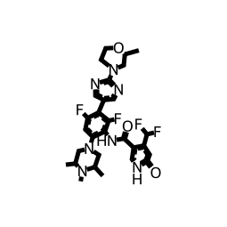 CC1CN(c2ncc(-c3c(F)cc(N4CC(C)N(C)C(C)C4)c(NC(=O)c4c[nH]c(=O)cc4C(F)F)c3F)cn2)CCO1